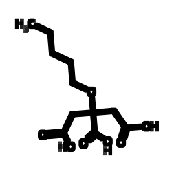 CCCCCOC(CC(=O)O)(CC(=O)O)C(=O)O